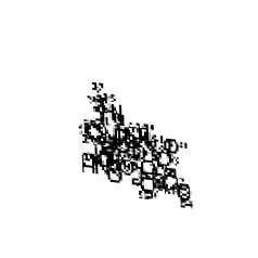 COc1ccc(C(OC[C@H]2O[C@@H](n3ccc(=O)[nH]c3=O)[C@H](OC(=O)Nc3ccccc3CSSC(C)(C)C)[C@@H]2OP(OCCC#N)N(C(C)C)C(C)C)(c2ccccc2)c2ccc(OC)cc2)cc1